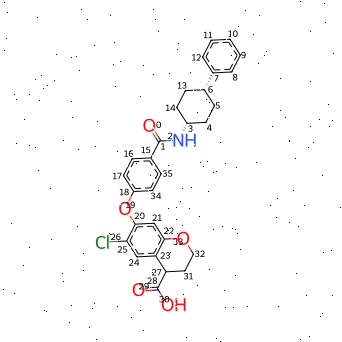 O=C(N[C@H]1CC[C@@H](c2ccccc2)CC1)c1ccc(Oc2cc3c(cc2Cl)C(C(=O)O)CCO3)cc1